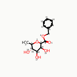 CC1OC(C(=O)OCc2ccccc2)C(O)C(O)[C@@H]1O